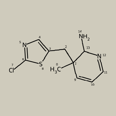 CC1(Cc2cnc(Cl)s2)C=CC=NC1N